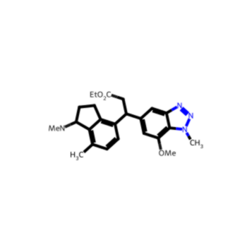 CCOC(=O)CC(c1cc(OC)c2c(c1)nnn2C)c1ccc(C)c2c1CCC2NC